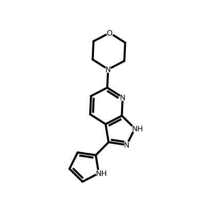 c1c[nH]c(-c2n[nH]c3nc(N4CCOCC4)ccc23)c1